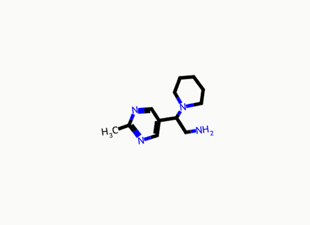 Cc1ncc(C(CN)N2CCCCC2)cn1